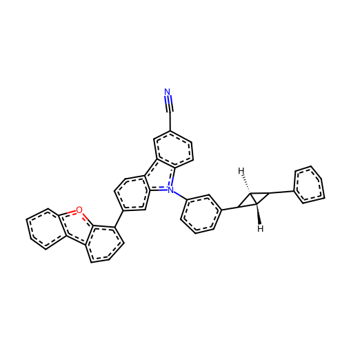 N#Cc1ccc2c(c1)c1ccc(-c3cccc4c3oc3ccccc34)cc1n2-c1cccc(C2[C@H]3C(c4ccccc4)[C@H]23)c1